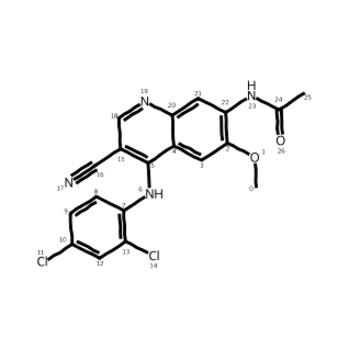 COc1cc2c(Nc3ccc(Cl)cc3Cl)c(C#N)cnc2cc1NC(C)=O